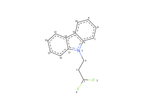 FC(F)CCn1c2ccccc2c2ccccc21